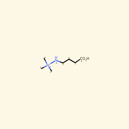 C[N+](C)(C)NCCCC(=O)O